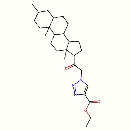 CCOC(=O)c1cn(CC(=O)C2CCC3C4CCC5CC(C)CCC5(C)C4CCC23C)nn1